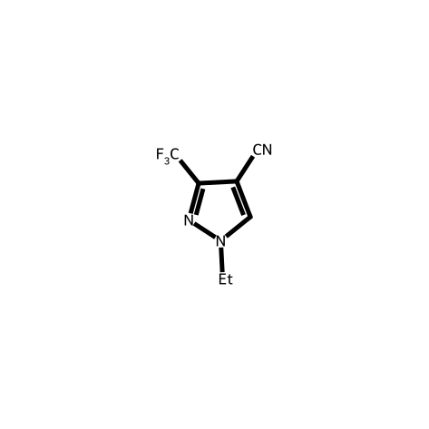 CCn1cc(C#N)c(C(F)(F)F)n1